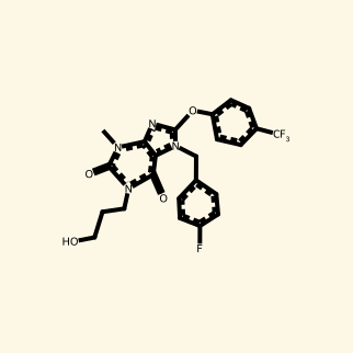 Cn1c(=O)n(CCCO)c(=O)c2c1nc(Oc1ccc(C(F)(F)F)cc1)n2Cc1ccc(F)cc1